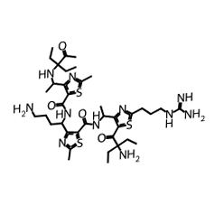 CCC(N)(CC)C(=O)c1sc(CCCNC(=N)N)nc1C(C)NC(=O)c1sc(C)nc1C(CCCN)NC(=O)c1sc(C)nc1C(C)NC(CC)(CC)C(C)=O